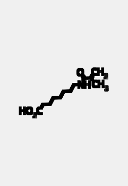 C=C(C)C(=O)NCCCCCCCC(=O)O